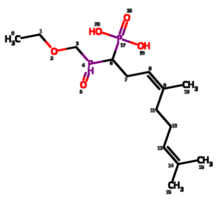 CCOC[PH](=O)C(CC=C(C)CCC=C(C)C)P(=O)(O)O